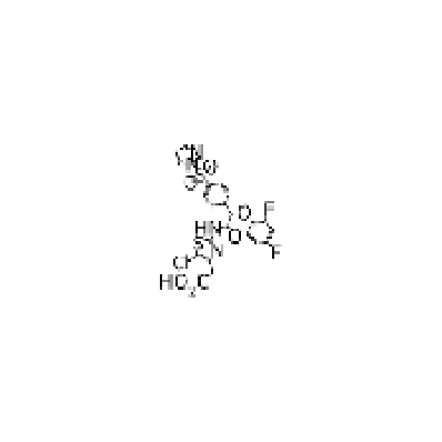 O=C(O)Cc1nc(NC(=O)C(Oc2ccc(F)cc2F)c2ccc(S(=O)(=O)n3cccn3)cc2)sc1Cl